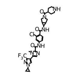 Cn1c(-c2cn(C3CC3)nc2C(F)(F)F)cnc1C(=O)Nc1ccc(C(=O)NC2C3CN(C(=O)C4CCNCC4)CC32)c(Cl)c1